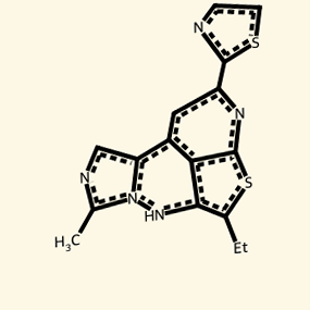 CCc1sc2nc(-c3nccs3)cc3c2c1[nH]n1c(C)ncc31